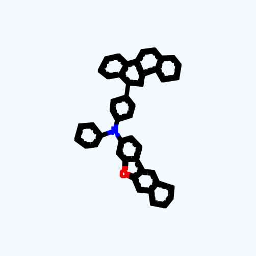 c1ccc(N(c2ccc(-c3cc4c5ccccc5ccc4c4ccccc34)cc2)c2ccc3c(c2)oc2cc4ccccc4cc23)cc1